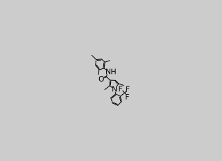 Cc1cc(C)c(NC(=O)c2cc(C)n(-c3ccccc3C(F)(F)F)c2C)c(C)c1